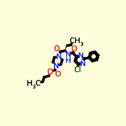 CCCCOC(=O)N1CCN(C(=O)[C@H](CCC)NC(=O)c2cc(Cl)nc(-c3ccccc3)n2)CC1